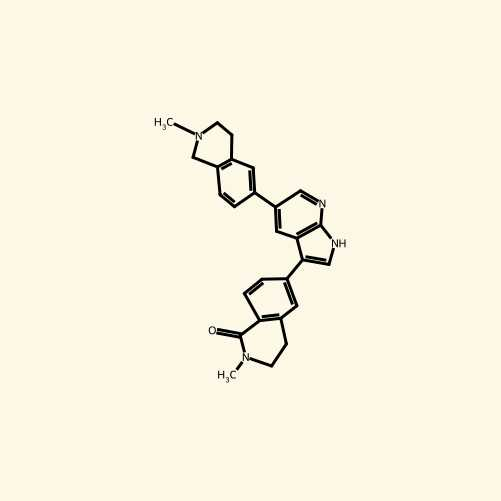 CN1CCc2cc(-c3cnc4[nH]cc(-c5ccc6c(c5)CCN(C)C6=O)c4c3)ccc2C1